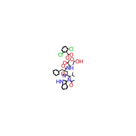 CC(=O)N(c1c[nH]c2ccccc12)[C@H](C1=NOC(Cc2ccccc2)(C(=O)N[C@@H](CC(=O)O)C(=O)COC(=O)c2c(Cl)cccc2Cl)C1)C(C)C